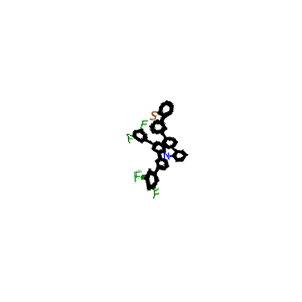 Fc1cc(F)cc(-c2ccc3c(c2)c2cc(-c4cc(F)cc(F)c4)ccc2n3-c2ccccc2-c2ccc(-c3ccc4sc5ccccc5c4c3)cc2)c1